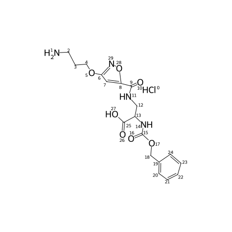 Cl.NCCCOc1cc(C(=O)NCC(NC(=O)OCc2ccccc2)C(=O)O)on1